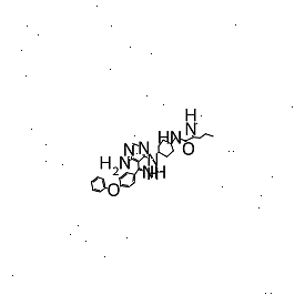 CCCC(NC)C(=O)NC1CCC(Nc2ncnc(N)c2C(=N)c2ccc(Oc3ccccc3)cc2)CC1